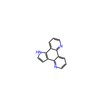 c1cnc2c(c1)c1ncccc1c1[nH]ccc21